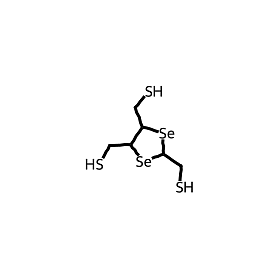 SCC1[Se]C(CS)C(CS)[Se]1